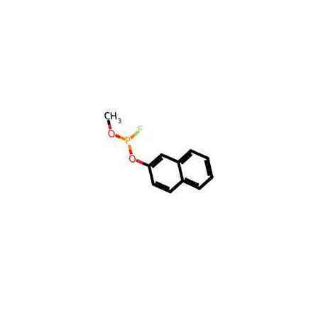 COP(F)Oc1ccc2ccccc2c1